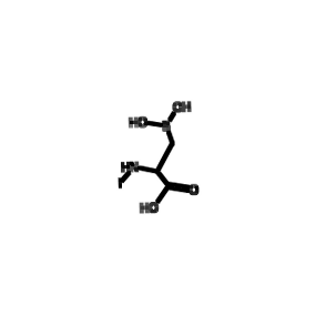 O=C(O)C(CB(O)O)NI